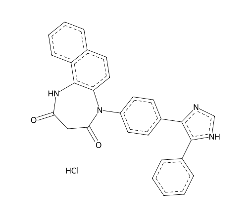 Cl.O=C1CC(=O)N(c2ccc(-c3nc[nH]c3-c3ccccc3)cc2)c2ccc3ccccc3c2N1